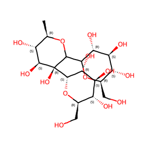 C[C@H]1O[C](C2O[C@H](CO)[C@@H](O)[C@H](O)[C@H]2O)[C@](O)([C@H]2O[C@H](CO)[C@@H](O)[C@H](O)[C@H]2O)[C@@H](O)[C@@H]1O